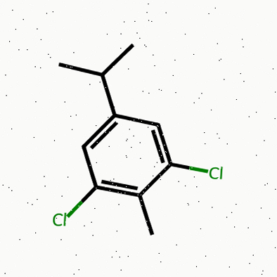 Cc1c(Cl)cc(C(C)C)cc1Cl